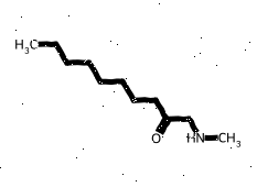 CCCCCCCCC(=O)CNC